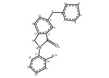 O=C1c2cc(Cc3ccccc3)ccc2CN1c1ccccc1F